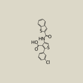 O=C(Nc1csc(-c2cccc(Cl)c2)c1C(=O)O)c1cc2ccccc2s1